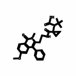 COc1ccc2c(=O)n(C)c(CCNC(=O)C3(N(C(=O)O)C(C)(C)C)CC3)c(-c3ccccc3)c2c1